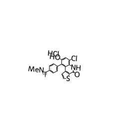 CN[C@@H](C)c1ccc(-c2c(O)cc(Cl)c3[nH]c(=O)c4sccc4c23)cc1.Cl